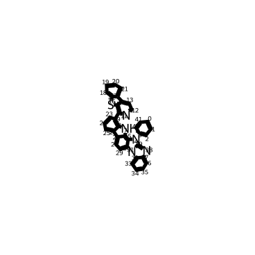 c1ccc(-n2c3c4[nH]c5c(-c6nccc7c6sc6ccccc67)cccc5c4ccc3n3c4ccccc4nc23)cc1